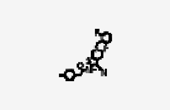 Cc1ccc(CC(=O)Nc2sc3c(c2C#N)CCN(Cc2c(F)cccc2F)C3)cc1